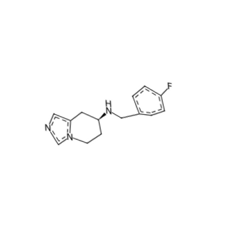 Fc1ccc(CN[C@H]2CCn3cncc3C2)cc1